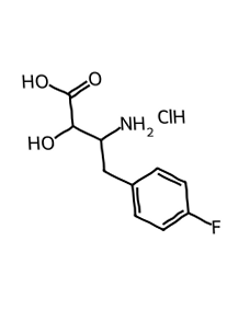 Cl.NC(Cc1ccc(F)cc1)C(O)C(=O)O